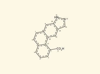 O=C(O)c1cccc2ccc3cc4[nH]ncc4cc3c12